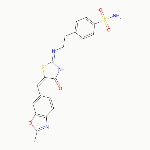 Cc1nc2ccc(C=C3SC(=NCCc4ccc(S(N)(=O)=O)cc4)NC3=O)cc2o1